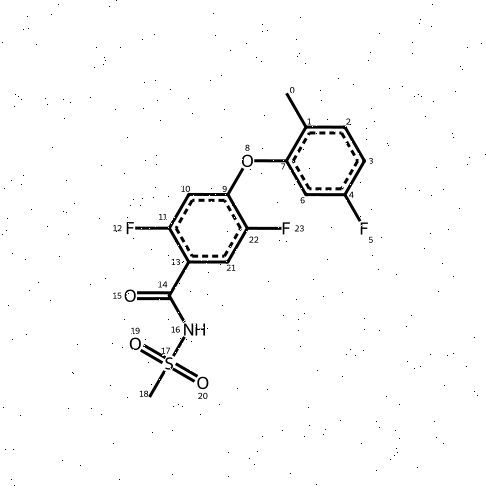 Cc1ccc(F)cc1Oc1cc(F)c(C(=O)NS(C)(=O)=O)cc1F